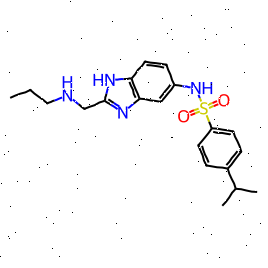 CCCNCc1nc2cc(NS(=O)(=O)c3ccc(C(C)C)cc3)ccc2[nH]1